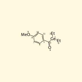 C[CH2][Ge]([CH2]C)[C](=O)c1ccc(OC)cc1